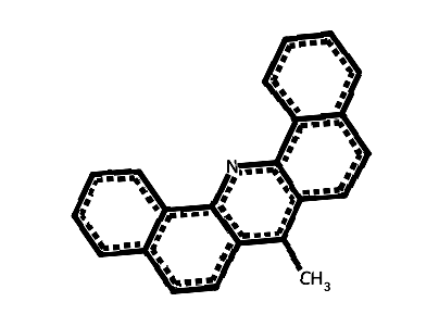 Cc1c2ccc3ccccc3c2nc2c1ccc1ccccc12